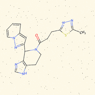 Cc1nnc(CCC(=O)N2CCc3[nH]cnc3C2c2cc3ccccn3n2)s1